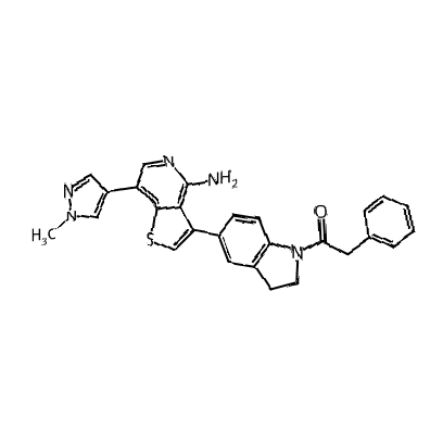 Cn1cc(-c2cnc(N)c3c(-c4ccc5c(c4)CCN5C(=O)Cc4ccccc4)csc23)cn1